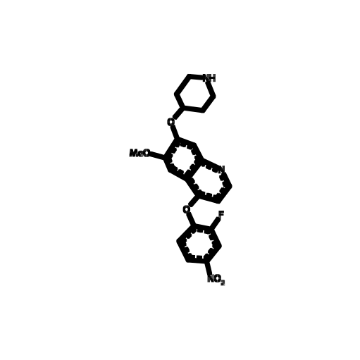 COc1cc2c(Oc3ccc([N+](=O)[O-])cc3F)ccnc2cc1OC1CCNCC1